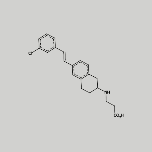 O=C(O)CCNC1CCc2cc(C=Cc3cccc(Cl)c3)ccc2C1